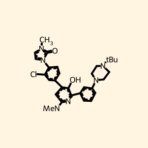 CNc1cc(-c2ccc(-n3ccn(C)c3=O)c(Cl)c2)c(O)c(-c2cccc(N3CCN(C(C)(C)C)CC3)c2)n1